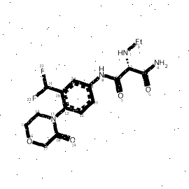 CCN[C@H](C(N)=O)C(=O)Nc1ccc(N2CCOCC2=O)c(C(F)F)c1